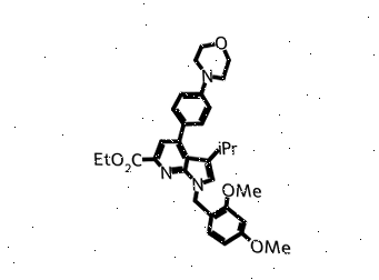 CCOC(=O)c1cc(-c2ccc(N3CCOCC3)cc2)c2c(C(C)C)cn(Cc3ccc(OC)cc3OC)c2n1